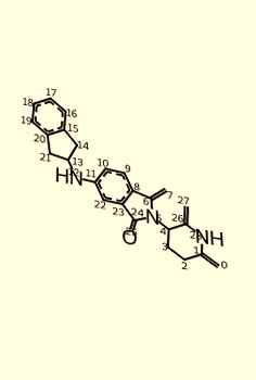 C=C1CCC(N2C(=C)c3ccc(NC4Cc5ccccc5C4)cc3C2=O)C(=C)N1